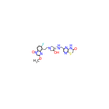 COc1c[n+]([O-])c2ccc(F)c(CCN3C[C@H](CNCc4cnc5c(n4)NC(=O)CS5)[C@H](O)C3)c2n1